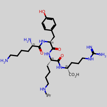 CC(C)NCCCC[C@H](NC(=O)[C@H](Cc1ccc(O)cc1)NC(=O)[C@@H](N)CCCCN)C(=O)N[C@H](CCCNC(=N)N)C(=O)O